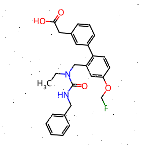 CCN(Cc1cc(OCF)ccc1-c1cccc(CC(=O)O)c1)C(=O)NCc1ccccc1